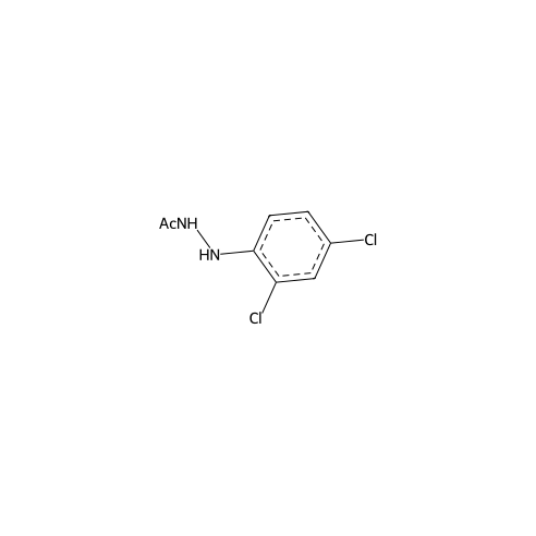 CC(=O)NNc1ccc(Cl)cc1Cl